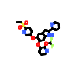 CCS(=O)(=O)c1ccc(Oc2cc3cc(-c4ccccn4)[nH]c3cc2Oc2cccnc2OC(F)F)cn1